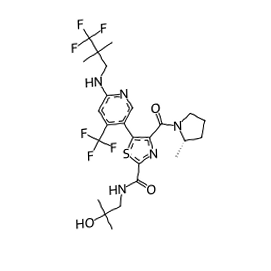 C[C@H]1CCCN1C(=O)c1nc(C(=O)NCC(C)(C)O)sc1-c1cnc(NCC(C)(C)C(F)(F)F)cc1C(F)(F)F